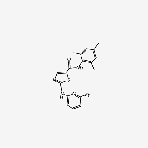 CCc1cccc(Nc2ncc(C(=O)Nc3c(C)cc(C)cc3C)s2)n1